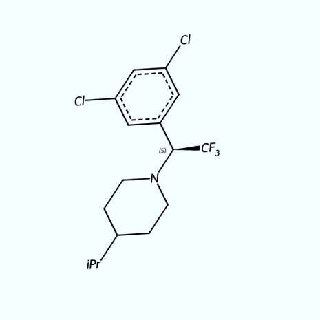 CC(C)C1CCN([C@@H](c2cc(Cl)cc(Cl)c2)C(F)(F)F)CC1